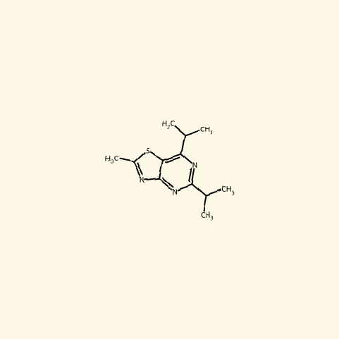 Cc1nc2nc(C(C)C)nc(C(C)C)c2s1